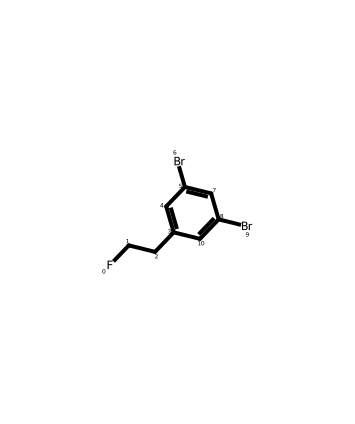 FCCc1cc(Br)cc(Br)c1